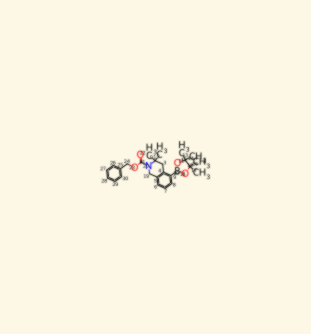 CC1(C)Cc2c(cccc2B2OC(C)(C)C(C)(C)O2)CN1C(=O)OCc1ccccc1